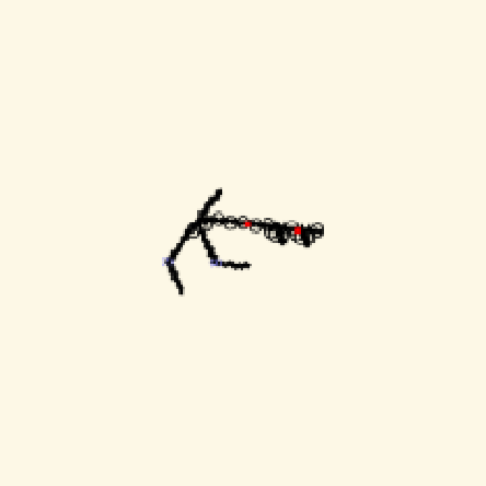 CCCCCCCC/C=C\CCCCCCCCOCC(CN(CCCCCCCC)C(=O)CCOCCOCCOCCOCCOC(=O)CN(CCOC(=O)CN(CCOC)C(=O)OC(C)(C)C)C(=O)OC(C)(C)C)OCCCCCCCC/C=C\CCCCCCCC